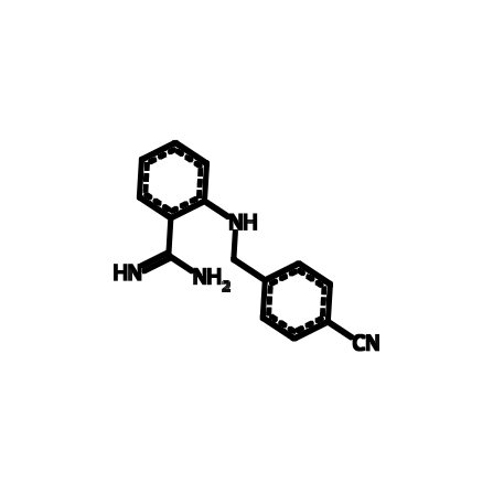 N#Cc1ccc(CNc2ccccc2C(=N)N)cc1